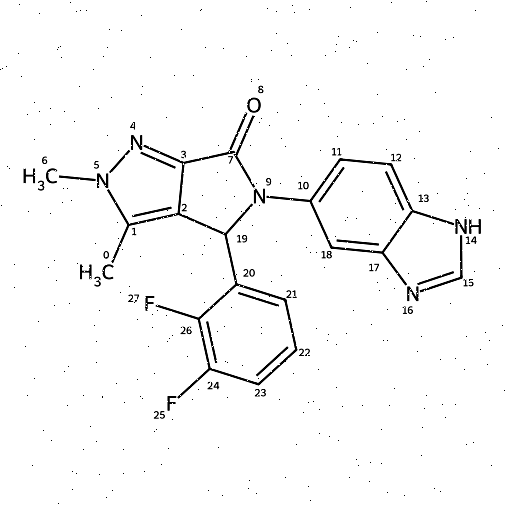 Cc1c2c(nn1C)C(=O)N(c1ccc3[nH]cnc3c1)C2c1cccc(F)c1F